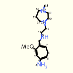 COC1=CC(N)=CCC=C1CNCCN1CCCN(C)CC1